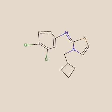 Clc1ccc(N=c2sccn2CC2CCC2)cc1Cl